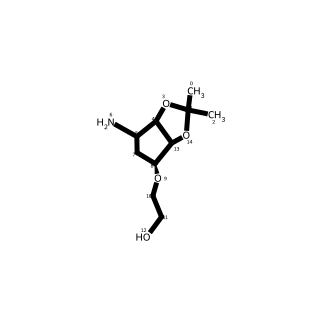 CC1(C)OC2C(N)C[C@H](OCCO)C2O1